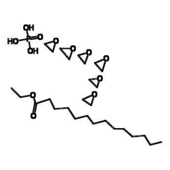 C1CO1.C1CO1.C1CO1.C1CO1.C1CO1.C1CO1.CCCCCCCCCCCCCC(=O)OCC.O=P(O)(O)O